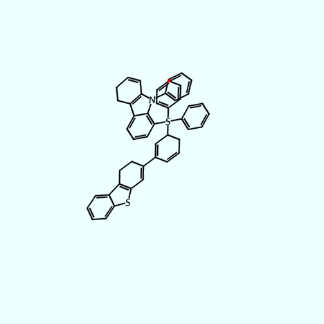 C1=Cc2c(c3cccc(S(c4ccccc4)(c4ccccc4)C4C=C(C5=Cc6sc7ccccc7c6CC5)C=CC4)c3n2-c2ccccc2)CC1